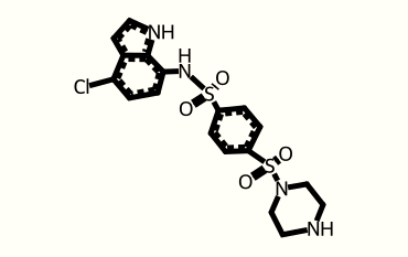 O=S(=O)(Nc1ccc(Cl)c2cc[nH]c12)c1ccc(S(=O)(=O)N2CCNCC2)cc1